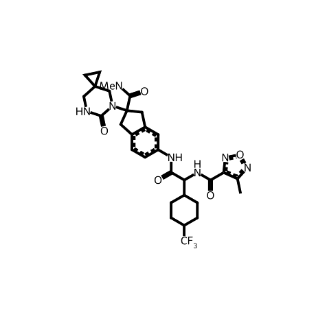 CNC(=O)C1(N2CC3(CC3)CNC2=O)Cc2ccc(NC(=O)C(NC(=O)c3nonc3C)C3CCC(C(F)(F)F)CC3)cc2C1